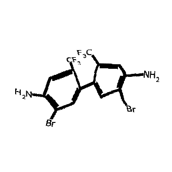 Nc1cc(C(F)(F)F)c(-c2cc(Br)c(N)cc2C(F)(F)F)cc1Br